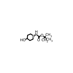 CC(C)(C)OC(=O)NN1CCC(O)CC1